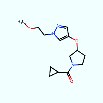 COCCn1cc(OC2CCN(C(=O)C3CC3)C2)cn1